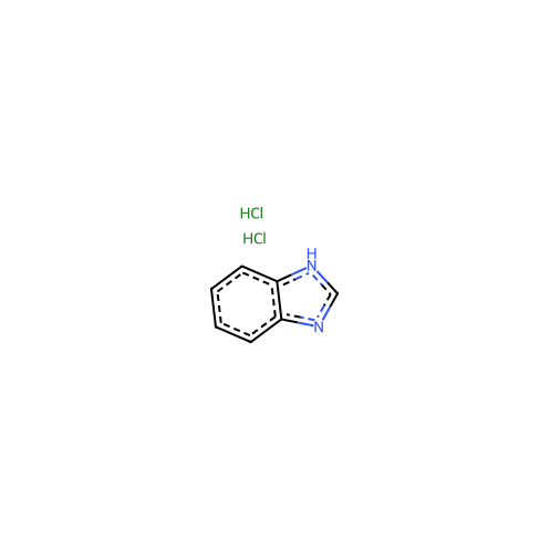 Cl.Cl.c1ccc2[nH]cnc2c1